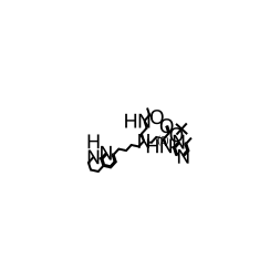 CC(=O)NCCN(CCCCc1ccc2c(n1)NCCC2)CC[C@H](Nc1cncc(C)n1)C(=O)OC(C)(C)C